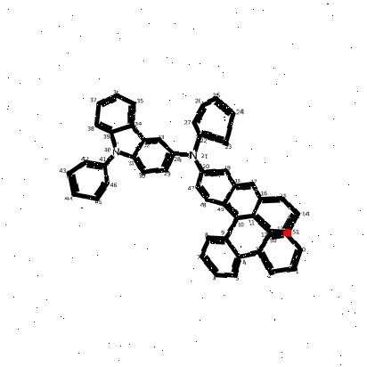 c1ccc(-c2ccccc2-c2c3ccccc3cc3cc(N(c4ccccc4)c4ccc5c(c4)c4ccccc4n5-c4ccccc4)ccc23)cc1